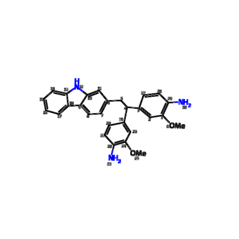 COc1cc(C(Cc2ccc3c(c2)[nH]c2ccccc23)c2ccc(N)c(OC)c2)ccc1N